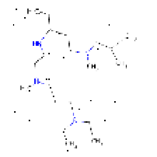 CCC(CCN(C)CC(C)C)NCCN(C)CCCN(CC)CC